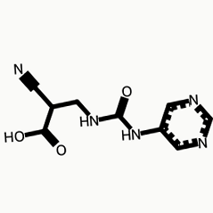 N#CC(CNC(=O)Nc1cncnc1)C(=O)O